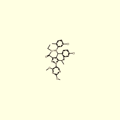 CCOC(=O)c1nn(-c2cnc(OC)nc2OC)c(C(C)C)c1C(Nc1cc(Cl)ccc1C)c1ccc(Cl)cc1C